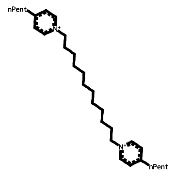 CCCCCc1cc[n+](CCCCCCCCCCCC[n+]2ccc(CCCCC)cc2)cc1